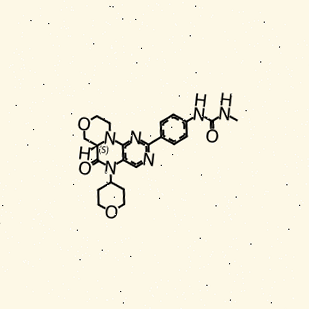 CNC(=O)Nc1ccc(-c2ncc3c(n2)N2CCOC[C@H]2C(=O)N3C2CCOCC2)cc1